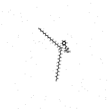 CCCCCCCCCCCCCCCCCC[N+](C)(C)CCCCCCCCCCCCCCCCCC.O=S(=O)(O)C=Cc1ccccc1